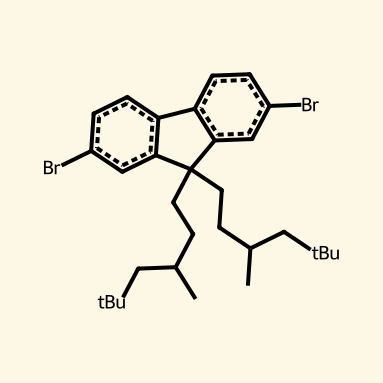 CC(CCC1(CCC(C)CC(C)(C)C)c2cc(Br)ccc2-c2ccc(Br)cc21)CC(C)(C)C